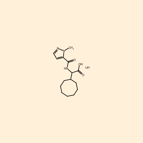 Cn1nccc1C(=O)NC(C(=O)O)C1CCCCCCC1.[LiH]